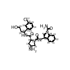 NC(=O)n1cc(NC(=O)N2C[C@@H](N)C[C@H]2C(=O)NC(CCO)c2cccc(Cl)c2)c2ccccc21